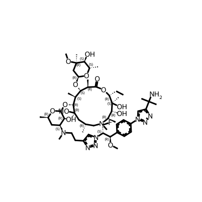 CC[C@H]1OC(=O)[C@H](C)[C@@H](O[C@H]2C[C@@](C)(OC)[C@@H](O)[C@H](C)O2)[C@H](C)[C@@H](O[C@@H]2O[C@H](C)C[C@H](N(C)CCc3cn([C@H](CF)[C@H](OC)c4ccc(-n5cc(C(C)(C)N)nn5)cc4)nn3)[C@H]2O)[C@](C)(O)C[C@@H](C)CN(C)[C@H](C)[C@@H](O)[C@]1(C)O